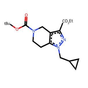 CCOC(=O)c1nn(CC2CC2)c2c1CN(C(=O)OC(C)(C)C)CC2